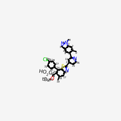 Cc1cc2c(cnn2C)cc1-c1cc(-c2nc3cc(C)c([C@H](OC(C)(C)C)C(=O)O)c(-c4ccc(Cl)cc4)c3s2)ccn1